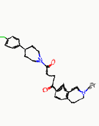 CC(C)N1CCc2ccc(C(=O)CCC(=O)N3CCC(c4ccc(Cl)cc4)CC3)cc2C1